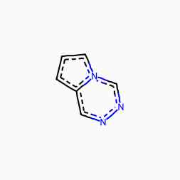 c1cc2cnncn2c1